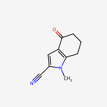 Cn1c(C#N)cc2c1CCCC2=O